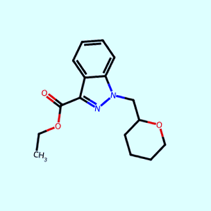 CCOC(=O)c1nn(CC2CCCCO2)c2ccccc12